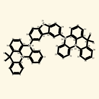 CC1(C)c2ccccc2N2c3ccccc3N(c3ccc4sc5ccc(N6c7ccccc7N7c8ccccc8C(C)(C)c8cccc6c87)cc5c4c3)c3cccc1c32